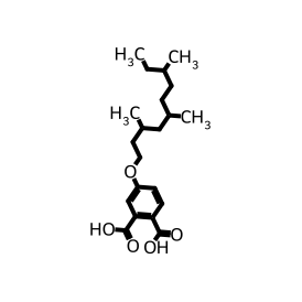 CCC(C)CCC(C)CC(C)CCOc1ccc(C(=O)O)c(C(=O)O)c1